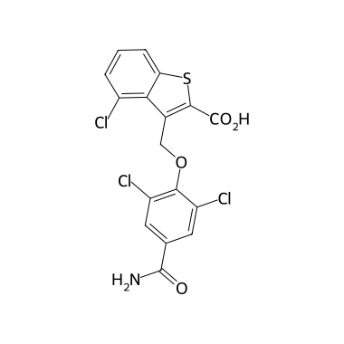 NC(=O)c1cc(Cl)c(OCc2c(C(=O)O)sc3cccc(Cl)c23)c(Cl)c1